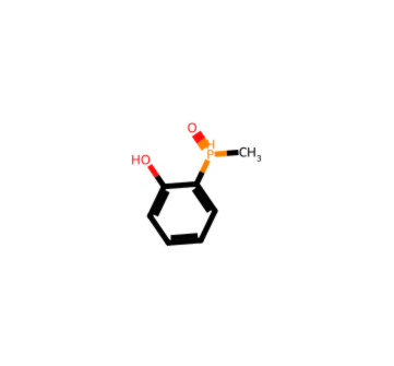 C[PH](=O)c1ccccc1O